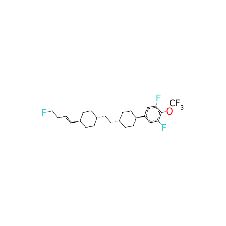 FCCC=C[C@H]1CC[C@H](CC[C@H]2CC[C@H](c3cc(F)c(OC(F)(F)F)c(F)c3)CC2)CC1